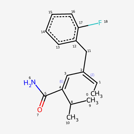 C/C=C(\C=C(\C(N)=O)C(C)C)Cc1ccccc1F